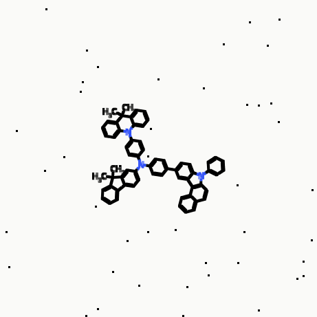 CC1(C)c2ccccc2-c2ccc(N(c3ccc(-c4ccc5c(c4)c4c6ccccc6ccc4n5-c4ccccc4)cc3)c3ccc(N4c5ccccc5C(C)(C)c5ccccc54)cc3)cc21